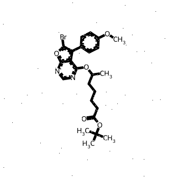 COc1ccc(-c2c(Br)oc3ncnc(OC(C)CCCCC(=O)OC(C)(C)C)c23)cc1